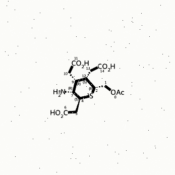 CC(=O)OC[C@@H]1S[C@@H](CC(=O)O)[C@H](N)[C@H](CC(=O)O)[C@@H]1CC(=O)O